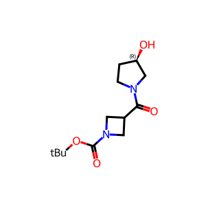 CC(C)(C)OC(=O)N1CC(C(=O)N2CC[C@@H](O)C2)C1